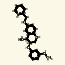 COc1cccc(O[C@@H]2COc3ccc(OCc4ccccn4)cc3[C@@H]2O)c1